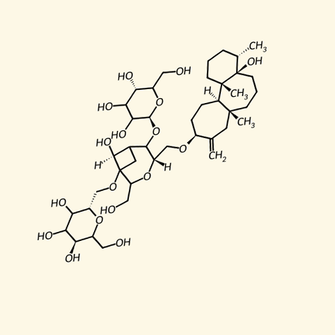 C=C1C[C@@]2(C)CCC[C@@]3(O)[C@@H](C)CCC[C@@]3(C)[C@@H]2CC[C@@H]1OC[C@@H]1OC(CO)C2(OC[C@@H]3OC(CO)[C@@H](O)C(O)C3O)CC(C1O[C@@H]1OC(CO)[C@@H](O)C(O)C1O)[C@@H]2O